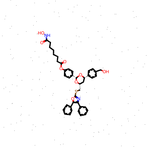 O=C(CCCCCCC(=O)Oc1ccc([C@H]2O[C@@H](CSc3nc(-c4ccccc4)c(-c4ccccc4)o3)C[C@@H](c3ccc(CO)cc3)O2)cc1)NO